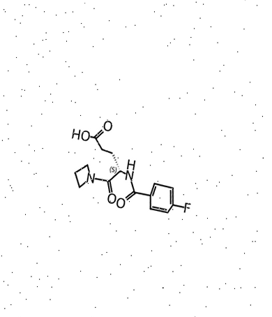 O=C(O)CC[C@H](NC(=O)c1ccc(F)cc1)C(=O)N1CCC1